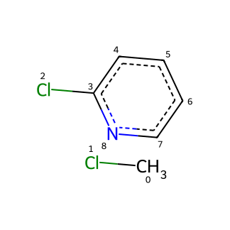 CCl.Clc1ccccn1